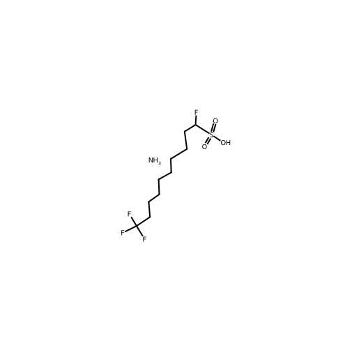 N.O=S(=O)(O)C(F)CCCCCCCCC(F)(F)F